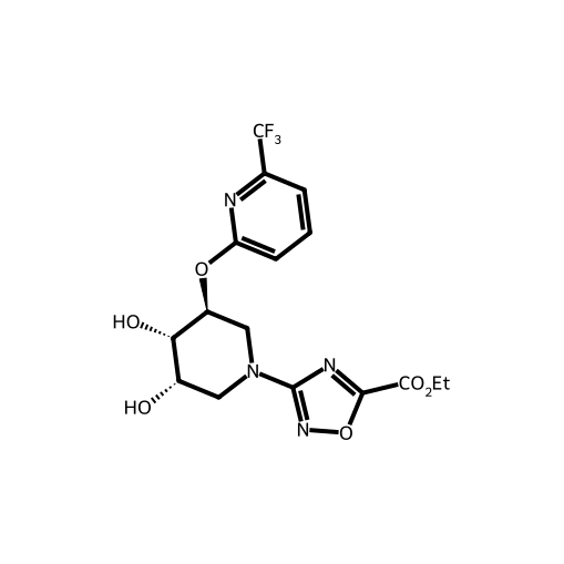 CCOC(=O)c1nc(N2C[C@H](Oc3cccc(C(F)(F)F)n3)[C@@H](O)[C@@H](O)C2)no1